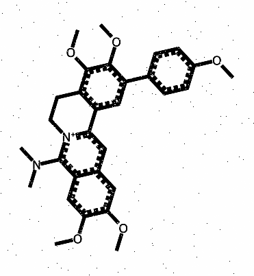 COc1ccc(-c2cc3c(c(OC)c2OC)CC[n+]2c-3cc3cc(OC)c(OC)cc3c2N(C)C)cc1